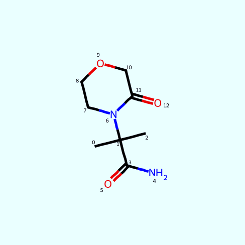 CC(C)(C(N)=O)N1CCOCC1=O